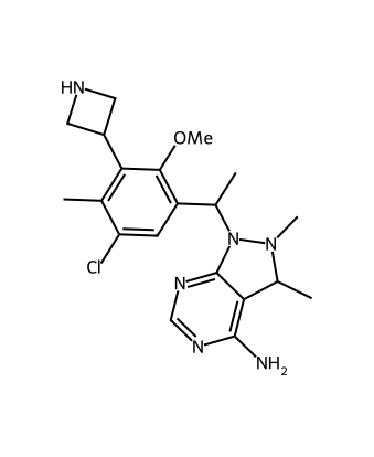 COc1c(C(C)N2c3ncnc(N)c3C(C)N2C)cc(Cl)c(C)c1C1CNC1